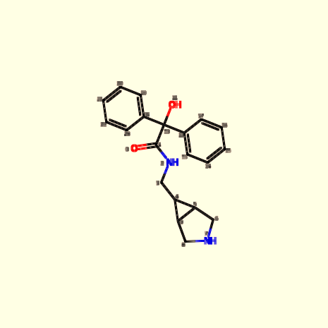 O=C(NCC1C2CNCC21)C(O)(c1ccccc1)c1ccccc1